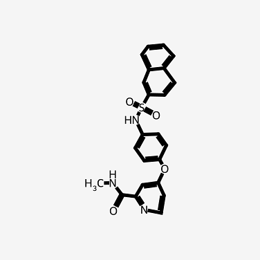 CNC(=O)c1cc(Oc2ccc(NS(=O)(=O)c3ccc4ccccc4c3)cc2)ccn1